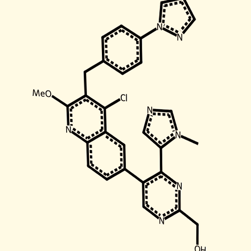 COc1nc2ccc(-c3cnc(CO)nc3-c3cncn3C)cc2c(Cl)c1Cc1ccc(-n2cccn2)cc1